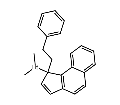 [CH3][Hf]([CH3])[C]1(CCc2ccccc2)C=Cc2ccc3ccccc3c21